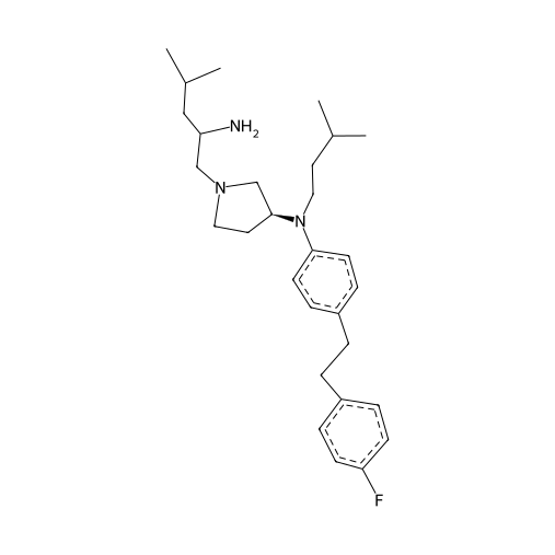 CC(C)CCN(c1ccc(CCc2ccc(F)cc2)cc1)[C@H]1CCN(CC(N)CC(C)C)C1